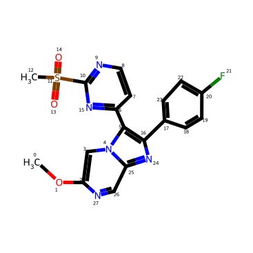 COc1cn2c(-c3ccnc(S(C)(=O)=O)n3)c(-c3ccc(F)cc3)nc2cn1